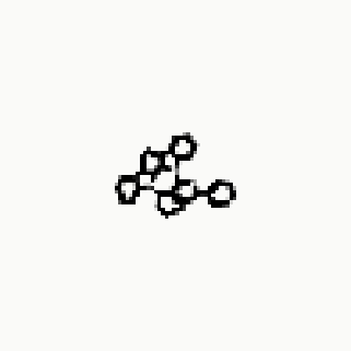 c1ccc(-c2cccc(-n3c4ccccc4c4ccc5c6ccccc6n(C6CCCCC6)c5c43)n2)cc1